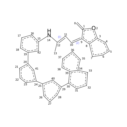 C=c1oc2ccccc2/c1=C/C=C(\C)Nc1cccc(-c2cccc(-c3cccc(-c4cccc5ccccc45)c3)c2)c1